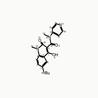 CCCCc1ccc2c(c1)c(O)c(C(=O)N(C)c1ccncc1)c(=O)n2C